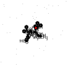 CC(C)(C)OC(=O)C(C)(C)O/N=C(\C(=O)NC1C(=O)N2C(C(=O)OC(c3ccccc3)c3ccccc3)=C(Cn3cc4cc(O)c(=O)cc-4cn3)C[S+]([O-])[C@@H]12)c1csc(NC(c2ccccc2)(c2ccccc2)c2ccccc2)n1